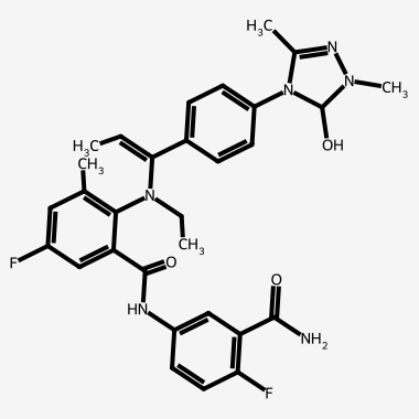 C/C=C(/c1ccc(N2C(C)=NN(C)C2O)cc1)N(CC)c1c(C)cc(F)cc1C(=O)Nc1ccc(F)c(C(N)=O)c1